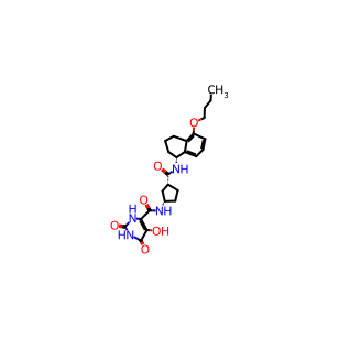 CCCCOc1cccc2c1CCC[C@H]2NC(=O)[C@@H]1CC[C@H](NC(=O)c2[nH]c(=O)[nH]c(=O)c2O)C1